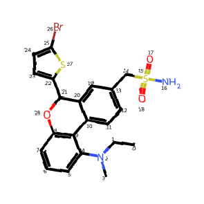 CCN(C)c1cccc2c1-c1ccc(CS(N)(=O)=O)cc1C(c1ccc(Br)s1)O2